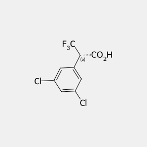 O=C(O)[C@H](c1cc(Cl)cc(Cl)c1)C(F)(F)F